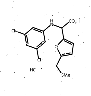 CSCc1ccc(C(Nc2cc(Cl)cc(Cl)c2)C(=O)O)o1.Cl